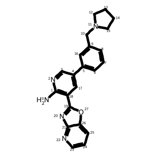 Nc1ncc(-c2cccc(CN3CCCC3)c2)cc1-c1nc2ncccc2o1